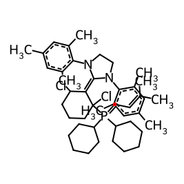 CC(C)=CC=P(C1CCCCC1)(C1CCCCC1)C1(Cl)CCCC(Cl)C1=C1N(c2c(C)cc(C)cc2C)CCN1c1c(C)cc(C)cc1C